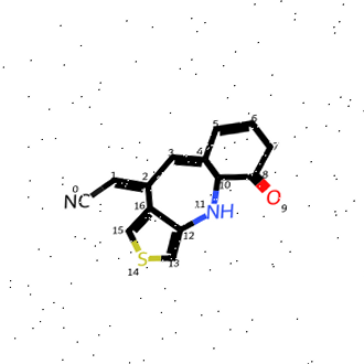 N#C/C=C1/C=C2C=CCC(=O)C2Nc2cscc21